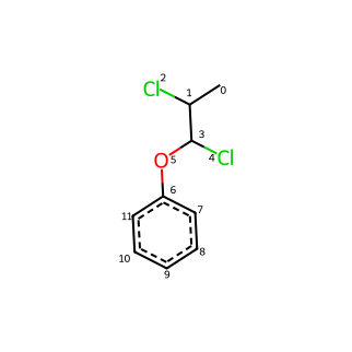 CC(Cl)C(Cl)Oc1ccccc1